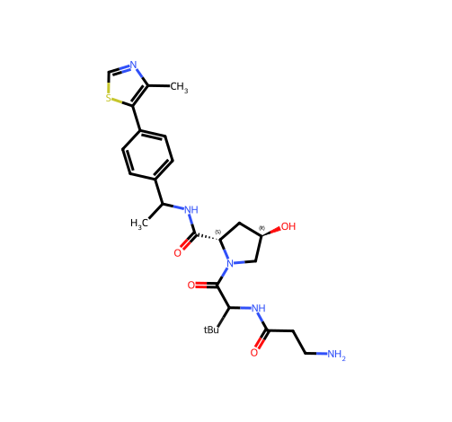 Cc1ncsc1-c1ccc(C(C)NC(=O)[C@@H]2C[C@@H](O)CN2C(=O)C(NC(=O)CCN)C(C)(C)C)cc1